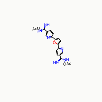 CC(=O)ONC(=N)c1ccc(-c2ccc(-c3ccc(C(=N)NOC(C)=O)cn3)o2)nc1